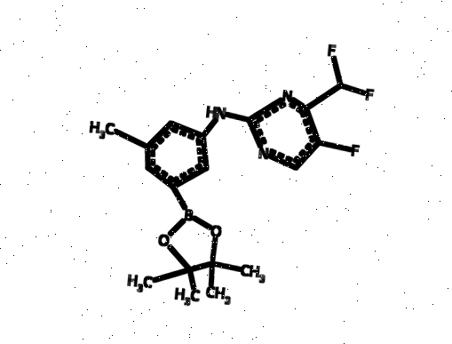 Cc1cc(Nc2ncc(F)c(C(F)F)n2)cc(B2OC(C)(C)C(C)(C)O2)c1